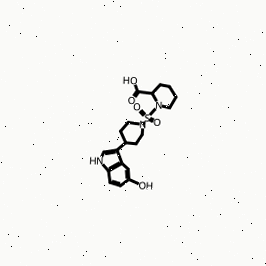 O=C(O)C1CCCCN1S(=O)(=O)N1CCC(c2c[nH]c3ccc(O)cc23)CC1